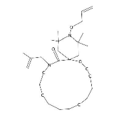 C=CCON1C(C)(C)CC2(CC1(C)C)OCCCCCCCCCCCN(CC(=C)C)C2=O